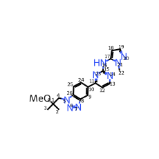 COC(C)(C)Cn1nnc2cc(-c3ccnc(Nc4ccnn4C)n3)ccc21